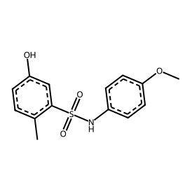 COc1ccc(NS(=O)(=O)c2cc(O)ccc2C)cc1